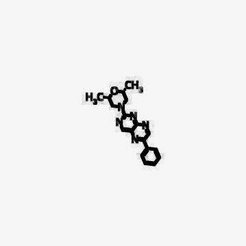 C[C@@H]1CN(c2ncc3nc(-c4ccccc4)cnc3n2)C[C@@H](C)O1